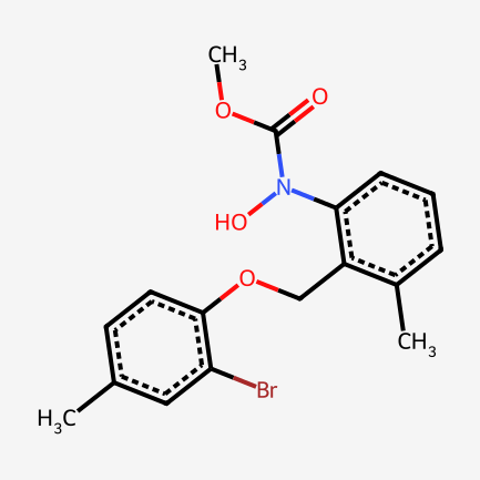 COC(=O)N(O)c1cccc(C)c1COc1ccc(C)cc1Br